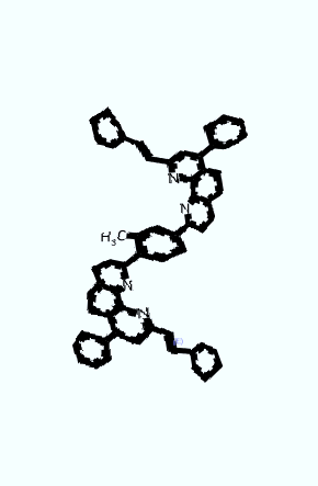 Cc1cc(-c2ccc3ccc4c(-c5ccccc5)cc(C=Cc5ccccc5)nc4c3n2)ccc1-c1ccc2ccc3c(-c4ccccc4)cc(/C=C/c4ccccc4)nc3c2n1